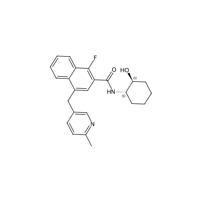 Cc1ccc(Cc2cc(C(=O)N[C@H]3CCCC[C@@H]3O)c(F)c3ccccc23)cn1